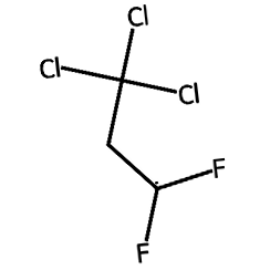 F[C](F)CC(Cl)(Cl)Cl